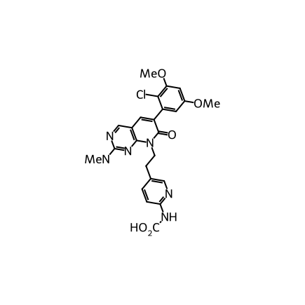 CNc1ncc2cc(-c3cc(OC)cc(OC)c3Cl)c(=O)n(CCc3ccc(NC(=O)O)nc3)c2n1